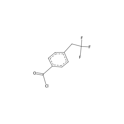 O=C(Cl)c1ccc(CC(F)(F)F)cc1